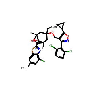 COCC1(OCc2c(-c3c(Cl)cccc3Cl)noc2C2CC2)C[C@H]2C[C@H](C)[C@@H](C1)[C@]2(O)c1nc2c(F)cc(C(=O)O)cc2s1